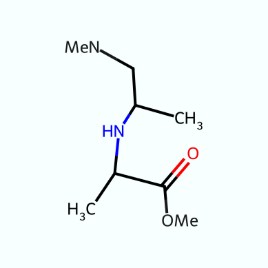 CNCC(C)NC(C)C(=O)OC